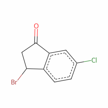 O=C1CC(Br)c2ccc(Cl)cc21